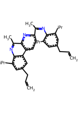 C=CCc1cc(C(C)C)c(/N=C(/C)c2cccc(/C(C)=N\c3c(C(C)C)cc(CC=C)cc3C(C)C)n2)c(C(C)C)c1